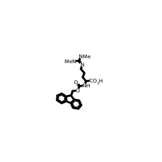 CNC(=NCCCC(NC(=O)OCC1c2ccccc2-c2ccccc21)C(=O)O)NC